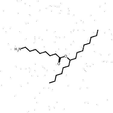 CCCCCCCCC(CCCCCC)OC(=O)CCCCCCCN